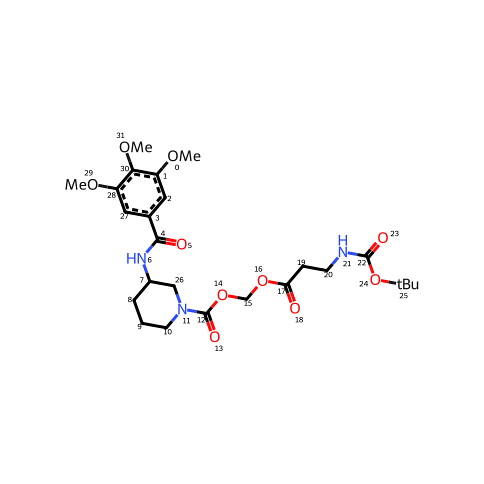 COc1cc(C(=O)NC2CCCN(C(=O)OCOC(=O)CCNC(=O)OC(C)(C)C)C2)cc(OC)c1OC